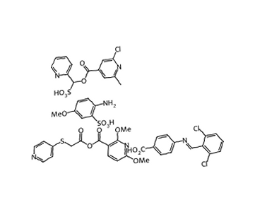 COc1ccc(C(=O)OC(=O)CSc2ccncc2)c(OC)n1.COc1ccc(N)c(S(=O)(=O)O)c1.Cc1cc(C(=O)OC(c2ccccn2)S(=O)(=O)O)cc(Cl)n1.O=C(O)c1ccc(N=Cc2c(Cl)cccc2Cl)cc1